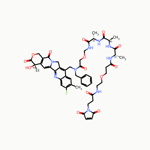 CC[C@@]1(O)C(=O)OCc2c1cc1n(c2=O)Cc2c-1nc1cc(F)c(C)cc1c2CN(Cc1ccccc1)C(=O)COCNC(=O)[C@H](C)NC(=O)[C@@H](C)NC(=O)[C@H](C)NC(=O)CCOCCNC(=O)CCN1C(=O)C=CC1=O